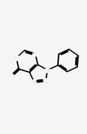 O=c1[nH]cnc2c1nnn2-c1ccccc1